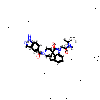 Cc1cccc2c1C1(CCN(C(=O)c3ccc4[nH]ncc4c3)CC1)C(=O)N2CC(=O)N(C)C(C)C(F)(F)F